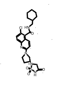 O=C1CN([C@H]2CCN(c3ccc4c(C(=O)NCC5CCCCC5)c(Cl)ccc4n3)C2)S(=O)(=O)N1